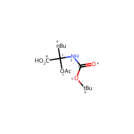 CCCCC(NC(=O)OC(C)(C)C)(OC(C)=O)C(=O)O